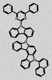 c1ccc(-c2cc(-c3ccccc3)nc(-n3c4ccccc4c4c(-n5c6ccccc6c6c7c8ccccc8n(-c8cccc9ccccc89)c7ccc65)cccc43)n2)cc1